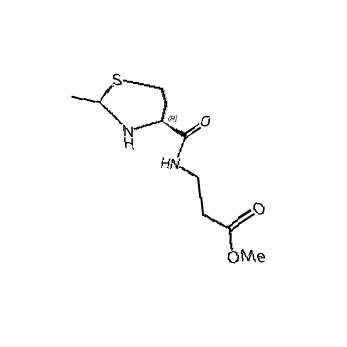 COC(=O)CCNC(=O)[C@@H]1CSC(C)N1